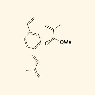 C=C(C)C(=O)OC.C=CC(=C)C.C=Cc1ccccc1